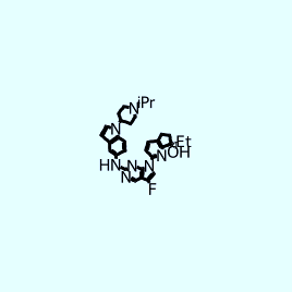 CC[C@@]1(O)CCc2ccc(-n3cc(F)c4cnc(Nc5ccc6c(ccn6C6CCN(C(C)C)CC6)c5)nc43)nc21